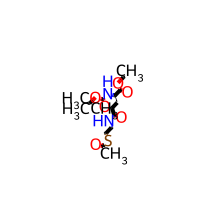 CCOC(=O)[C@H](CCC(=O)NCCSC(C)=O)NC(=O)OC(C)(C)C